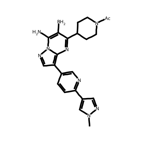 Bc1c(C2CCN(C(C)=O)CC2)nc2c(-c3ccc(-c4cnn(C)c4)nc3)cnn2c1N